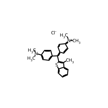 Cc1c(C(=C2C=CC(=[N+](C)C)C=C2)c2ccc(N(C)C)cc2)sc2ccccc12.[Cl-]